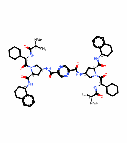 CN[C@@H](C)C(=O)N[C@H](C(=O)N1C[C@@H](NC(=O)c2cnc(C(=O)N[C@H]3C[C@@H](C(=O)N[C@@H]4CCCc5ccccc54)N(C(=O)[C@@H](NC(=O)[C@H](C)NC)C4CCCCC4)C3)cn2)C[C@H]1C(=O)N[C@@H]1CCCc2ccccc21)C1CCCCC1